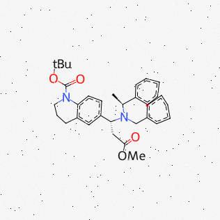 COC(=O)C[C@H](c1ccc2c(c1)CCCN2C(=O)OC(C)(C)C)N(Cc1ccccc1)[C@@H](C)c1ccccc1